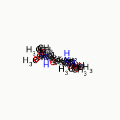 COC[C@H]1C[C@@H](c2nc3ccc4cc5c(cc4c3[nH]2)OCc2cc(-c3ccc4nc([C@@H]6CCCN6C(=O)C(NC(=O)OC)C(C)C)[nH]c4c3)ccc2-5)N(C(=O)OC(C)(C)C)C1